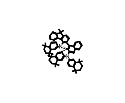 CC1(C)CCC(C)(C)c2cc(N3B4c5cc6c(cc5N(c5ccc7c(c5)C(C)(C)CCC7(C)C)c5cc7ccccc7c(c54)-c4ccc5c(c43)-c3ccccc3C5(C)C)C(C)(C)CCC6(C)C)ccc21